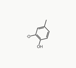 Cc1ccc(O)c([O])c1